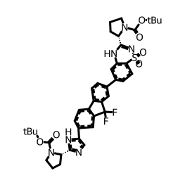 CC(C)(C)OC(=O)N1CCC[C@H]1C1=NS(=O)(=O)c2ccc(-c3ccc4c(c3)C(F)(F)c3cc(-c5cnc([C@@H]6CCCN6C(=O)OC(C)(C)C)[nH]5)ccc3-4)cc2N1